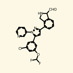 O=CC1NCc2c(-c3cc(-c4cc(Cl)cc(OC(F)F)c4)n(-c4cccnc4)n3)cccc21